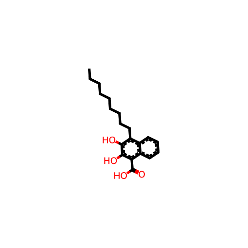 CCCCCCCCCc1c(O)c(O)c(C(=O)O)c2ccccc12